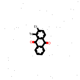 [2H]c1c(CC)ccc2c1C(=O)c1ccccc1C2=O